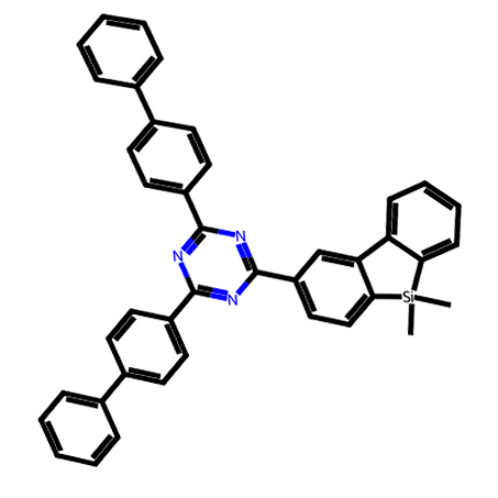 C[Si]1(C)c2ccccc2-c2cc(-c3nc(-c4ccc(-c5ccccc5)cc4)nc(-c4ccc(-c5ccccc5)cc4)n3)ccc21